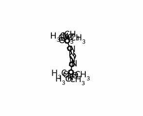 COc1cc(-c2ccc(N3CCCN(c4ccc(-c5cc(OC)c(N(C)C)c(OC)c5)cn4)CC3)nc2)cc(OC)c1N(C)C